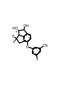 N#Cc1cc(F)cc(Oc2ccc3c4c2CC(F)(F)C4[C@@H](O)C3O)c1